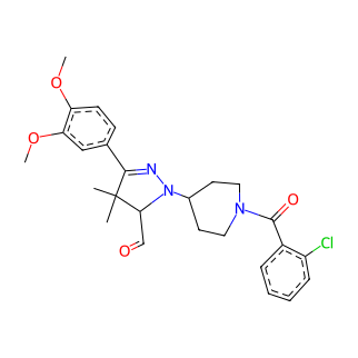 COc1ccc(C2=NN(C3CCN(C(=O)c4ccccc4Cl)CC3)C(C=O)C2(C)C)cc1OC